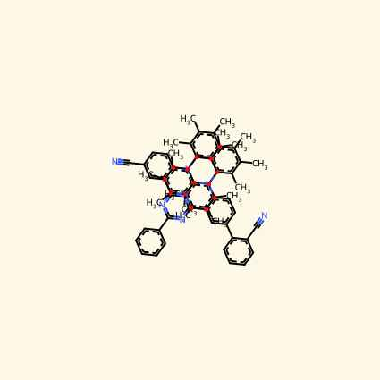 Cc1c(C)c(C)c2c(c1C)Cc1c(C)c(C)c(C)c(C)c1N2c1ccc(C#N)cc1-c1nc(-c2ccccc2)nc(-c2cc(-c3ccccc3C#N)ccc2N2c3c(C)c(C)c(C)c(C)c3Cc3c(C)c(C)c(C)c(C)c32)n1